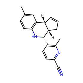 Cc1ccc2c(c1)[C@@H]1C=CC[C@@H]1[C@H](c1ccc(C#N)nc1C)N2